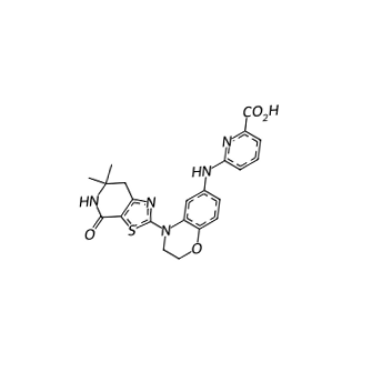 CC1(C)Cc2nc(N3CCOc4ccc(Nc5cccc(C(=O)O)n5)cc43)sc2C(=O)N1